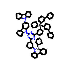 c1ccc(B2c3ccccc3-c3ccccc3N2c2cccc(-c3nc(-c4cccc([Si](c5ccccc5)(c5cccc(-c6ccccc6)c5)c5cccc(-c6ccccc6)c5)c4)nc(-n4c5ccccc5c5cc(-n6c7ccccc7c7ccccc76)ccc54)n3)c2)cc1